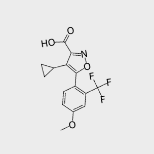 COc1ccc(-c2onc(C(=O)O)c2C2CC2)c(C(F)(F)F)c1